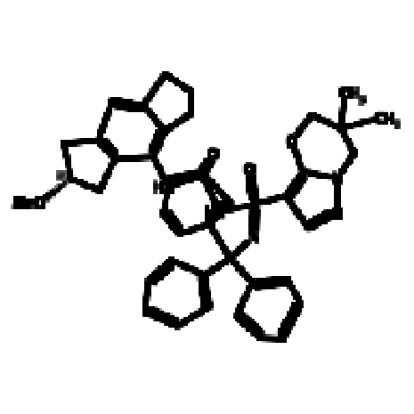 CO[C@@H]1Cc2cc3c(c(NC(=O)NS(=O)(=NC(c4ccccc4)(c4ccccc4)c4ccccc4)c4cnn5c4OCC(C)(C)C5)c2C1)CCC3